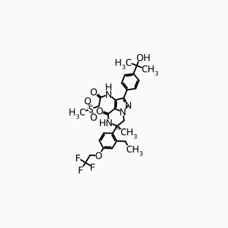 CCc1cc(OCC(F)(F)F)ccc1[C@@]1(C)Cn2nc(-c3ccc(C(C)(C)O)cc3)c(NC(=O)CS(C)(=O)=O)c2C(=O)N1